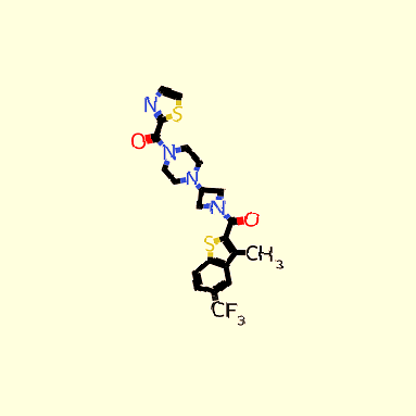 Cc1c(C(=O)N2CC(N3CCN(C(=O)c4nccs4)CC3)C2)sc2ccc(C(F)(F)F)cc12